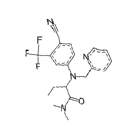 CCC(C(=O)N(C)C)N(Cc1ccccn1)c1ccc(C#N)c(C(F)(F)F)c1